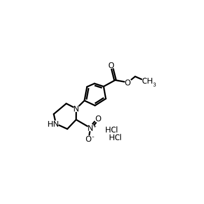 CCOC(=O)c1ccc(N2CCNCC2[N+](=O)[O-])cc1.Cl.Cl